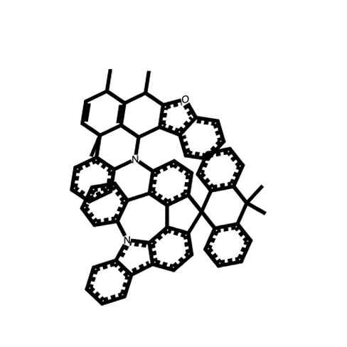 CC1C=CC2(C)C3=C1C(C)c1oc4ccccc4c1C3N(c1ccc3c4c1-c1ccccc1-n1c5ccccc5c5ccc(c-4c51)C31c3ccccc3C(C)(C)c3ccccc31)c1ccccc12